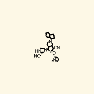 CN1CCC[C@H]1COc1nc(N2CCN[C@@H](CC#N)C2)c2c(c1C#N)CN(c1cccc3ccccc13)CC2